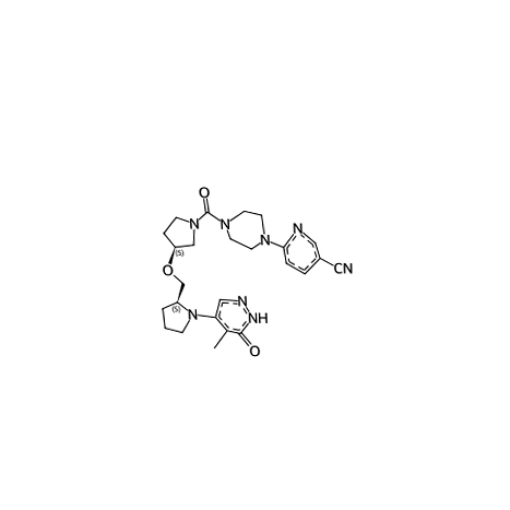 Cc1c(N2CCC[C@H]2CO[C@H]2CCN(C(=O)N3CCN(c4ccc(C#N)cn4)CC3)C2)cn[nH]c1=O